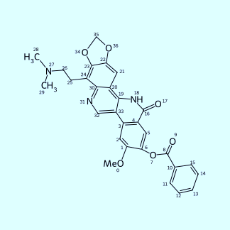 COc1cc2c(cc1OC(=O)c1ccccc1)c(=O)[nH]c1c3cc4c(c(CCN(C)C)c3ncc21)OCO4